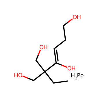 CCC(CO)(CO)C(O)=CCCO.[PoH2]